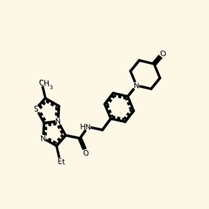 CCc1nc2sc(C)cn2c1C(=O)NCc1ccc(N2CCC(=O)CC2)cc1